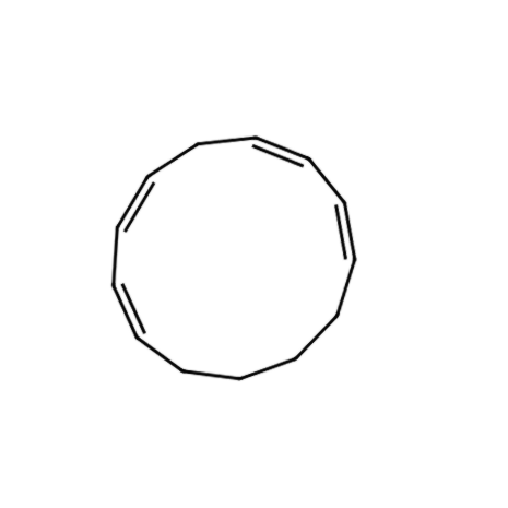 C1=CCC=CC=CCCCCC=C1